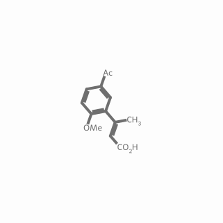 COc1ccc(C(C)=O)cc1C(C)=CC(=O)O